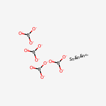 [O-]B([O-])[O-].[O-]B([O-])[O-].[O-]B([O-])[O-].[O-]B([O-])[O-].[Sn+4].[Sn+4].[Sn+4]